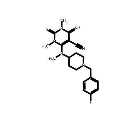 CN(c1c(C#N)c(=N)n(C)c(=S)n1C)C1CCN(Cc2ccc(F)cc2)CC1